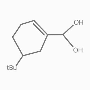 CC(C)(C)C1CCC=C(C(O)O)C1